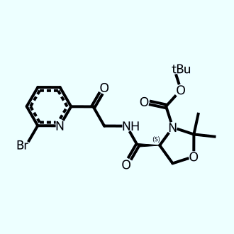 CC(C)(C)OC(=O)N1[C@H](C(=O)NCC(=O)c2cccc(Br)n2)COC1(C)C